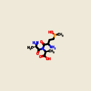 C[C@H](N)C(=O)N(C(=O)C(N)CCP(C)O)[C@@H](C)C(=O)O